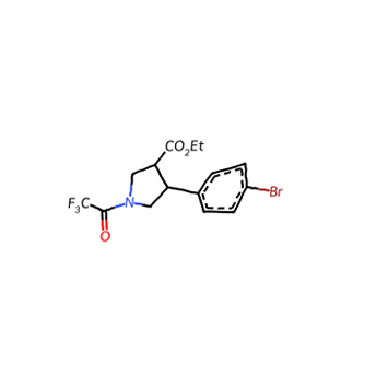 CCOC(=O)C1CN(C(=O)C(F)(F)F)CC1c1ccc(Br)cc1